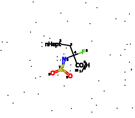 CC.CCCCCCCCC(F)(N=S(=O)=O)C(=O)O